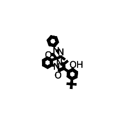 CC1=NN(c2ccccc2)C(=O)C12c1ccccc1-n1c(=O)c(-c3cc(C(C)(C)C)ccc3O)c(C)n12